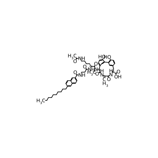 CCCCCCCCCCc1ccc2cc(C(=O)NCCC(=O)N[C@@H](CCCCNC(C)=O)C(=O)N(C)[C@@H]3C(=O)N[C@@H](C)C(=O)N[C@H](C(=O)O)Cc4ccc(O)c(c4)-c4cc3ccc4O)ccc2c1